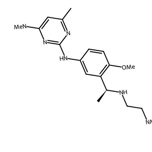 CNCCN[C@@H](C)c1cc(Nc2nc(C)cc(NC)n2)ccc1OC